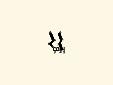 C=CC=C.C=CCC(=O)O